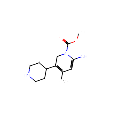 COC1=C(C2CCNCC2)CN(C(=O)OC(C)(C)C)C(N)=C1